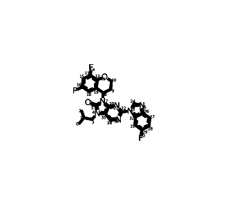 CC(C)Cn1c(=O)n(C2CCOc3c(F)cc(F)cc32)c2nc(-n3cnc4ccc(F)cc43)ncc21